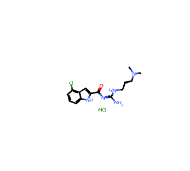 CN(C)CCCNC(N)=NC(=O)c1cc2c(Cl)cccc2[nH]1.Cl